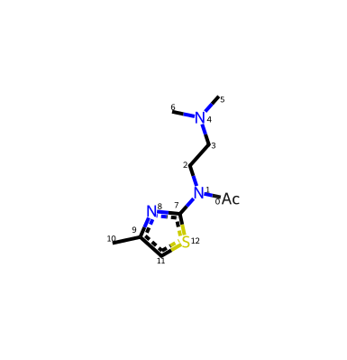 CC(=O)N(CCN(C)C)c1nc(C)cs1